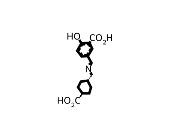 O=C(O)c1cc(C=NC[C@H]2CC[C@H](C(=O)O)CC2)ccc1O